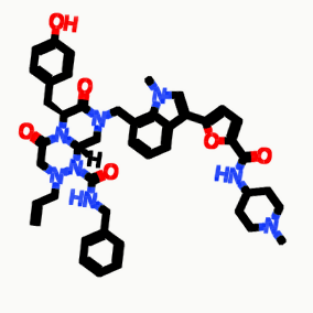 C=CCN1CC(=O)N2[C@@H](Cc3ccc(O)cc3)C(=O)N(Cc3cccc4c(-c5ccc(C(=O)NC6CCN(C)CC6)o5)cn(C)c34)C[C@@H]2N1C(=O)NCc1ccccc1